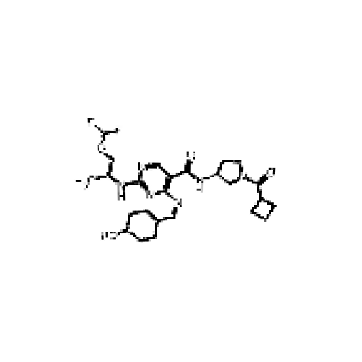 C[C@@H](COC(F)F)Nc1ncc(C(=O)N[C@H]2CCN(C(=O)C3CCC3)C2)c(/N=C\C2CCC(O)CC2)n1